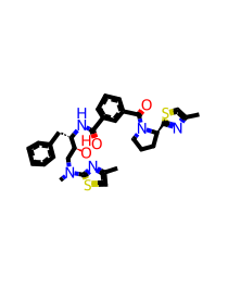 Cc1csc([C@H]2CCCN2C(=O)c2cccc(C(=O)N[C@@H](Cc3ccccc3)[C@H](O)CN(C)c3nc(C)cs3)c2)n1